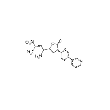 CC(=CC(N)C1CN(c2ccc(-c3cccnc3)cn2)C(=O)O1)[N+](=O)[O-]